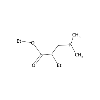 CCOC(=O)C(CC)CN(C)C